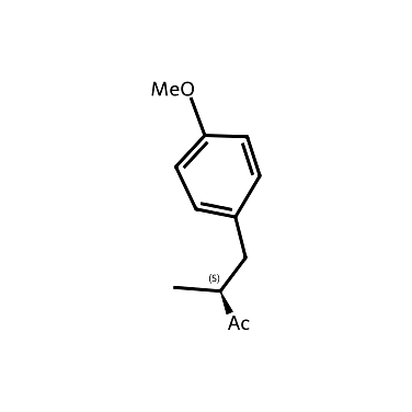 COc1ccc(C[C@H](C)C(C)=O)cc1